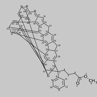 COC(=O)CCCC1(c2ccccc2)C2C3=CC4Cc5cc6c7c8c5C4c4c3c3c5c4c8c4c7c7c(cc8cc9c%10c(c5c4c%10c87)=C4C(C=9)CC5C43C251)C6